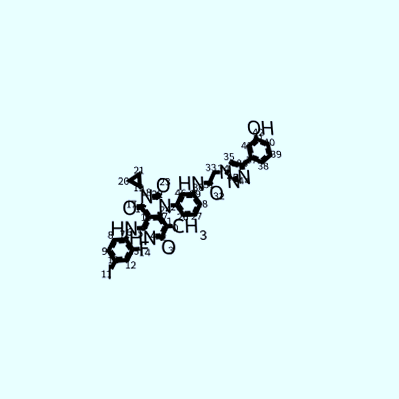 Cc1c(=O)[nH]c(Nc2ccc(I)cc2F)c2c(=O)n(C3CC3)c(=O)n(-c3cccc(NC(=O)Cn4cc(-c5cccc(O)c5)nn4)c3)c12